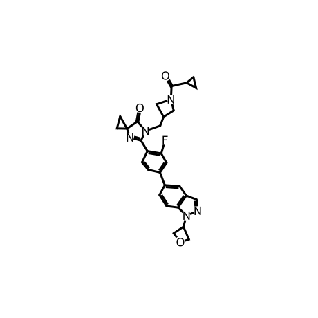 O=C(C1CC1)N1CC(CN2C(=O)C3(CC3)N=C2c2ccc(-c3ccc4c(cnn4C4COC4)c3)cc2F)C1